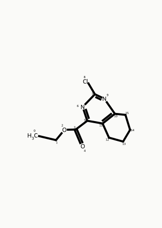 CCOC(=O)c1nc(Cl)nc2c1CCCC2